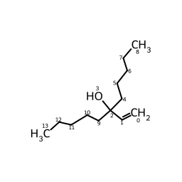 C=CC(O)(CCCCC)CCCCC